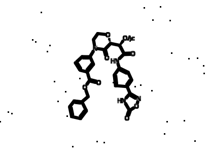 CC(=O)O[C@@H](C(=O)Nc1ccc(-c2noc(=O)[nH]2)cc1)[C@H]1OCCN(c2cccc(C(=O)OCc3ccccc3)c2)C1=O